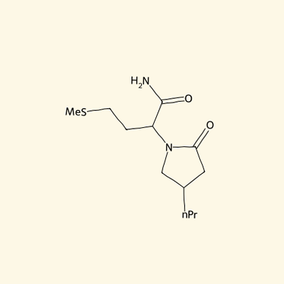 CCCC1CC(=O)N(C(CCSC)C(N)=O)C1